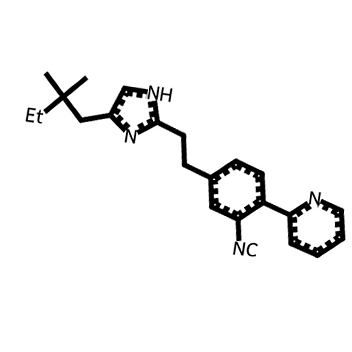 [C-]#[N+]c1cc(CCc2nc(CC(C)(C)CC)c[nH]2)ccc1-c1ccccn1